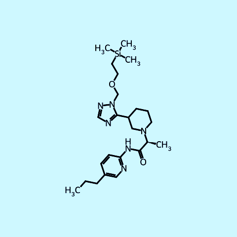 CCCc1ccc(NC(=O)[C@H](C)N2CCCC(c3ncnn3COCC[Si](C)(C)C)C2)nc1